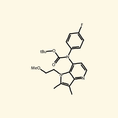 COCCn1c(C)c(C)c2nccc(N(C(=O)OC(C)(C)C)c3ccc(F)cc3)c21